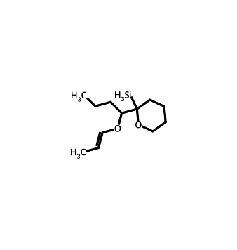 CC=COC(CCC)C1([SiH3])CCCCO1